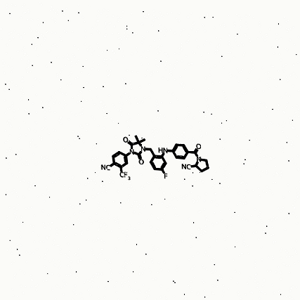 CC1(C)C(=O)N(c2ccc(C#N)c(C(F)(F)F)c2)C(=O)N1Cc1ccc(F)cc1Nc1ccc(C(=O)N2CCCC2C#N)cc1